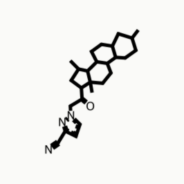 CC1CCC2C(CCC3C2CCC2(C)C(C(=O)Cn4ccc(C#N)n4)CC(C)C32)C1